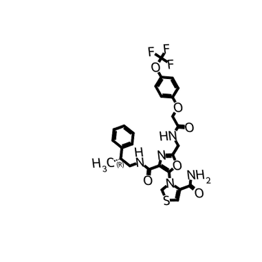 C[C@@H](CNC(=O)c1nc(CNC(=O)COc2ccc(OC(F)(F)F)cc2)oc1N1CSC=C1C(N)=O)c1ccccc1